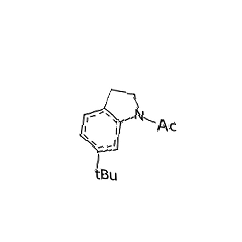 CC(=O)N1CCc2ccc(C(C)(C)C)cc21